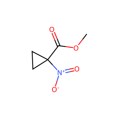 COC(=O)C1([N+](=O)[O-])CC1